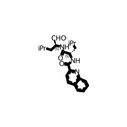 CC(C)C[C@@H]([C]=O)NC(=O)[C@H](CC(C)C)NC(=O)c1ccc2ccccc2n1